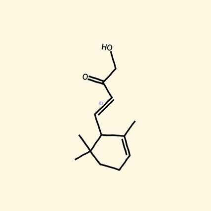 CC1=CCCC(C)(C)C1/C=C/C(=O)CO